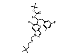 CC(C)(C)OC(=O)NC(Cc1cc(F)cc(F)c1)c1nc2cnn(COCC[Si](C)(C)C)c2cc1Br